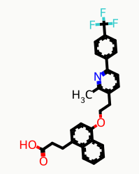 Cc1nc(-c2ccc(C(F)(F)F)cc2)ccc1CCOc1ccc(CCC(=O)O)c2ccccc12